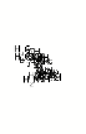 CCCC(C)(CC)OCC(C)(C)N(Cc1ccc2c(c1)C[C@H](CNC(=N)N)[C@H]2NC(=O)C(=O)Nc1ccc(Cl)c(F)c1)C(=N)N